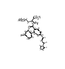 CSCCC(NC(=O)c1ccc(C=CCn2ccnc2)cc1-c1ccc(F)cc1)C(=O)O